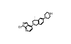 CCn1ncc2c(N3Cc4ccc(N5CCNCC5)cc4[C@@H](C)C3)ccnc21